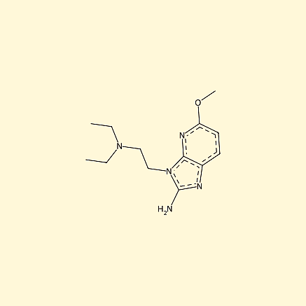 CCN(CC)CCn1c(N)nc2ccc(OC)nc21